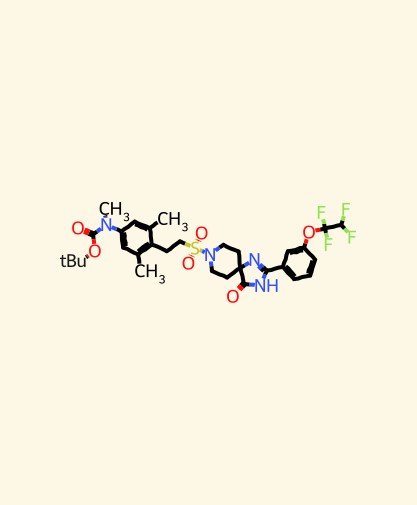 Cc1cc(N(C)C(=O)OC(C)(C)C)cc(C)c1CCS(=O)(=O)N1CCC2(CC1)N=C(c1cccc(OC(F)(F)C(F)F)c1)NC2=O